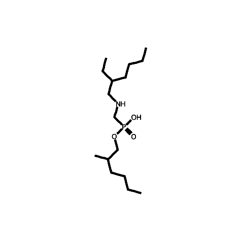 CCCCC(C)COP(=O)(O)CNCC(CC)CCCC